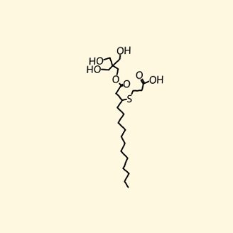 CCCCCCCCCCCCC(CC(=O)OCC(CO)(CO)CO)SCCC(=O)O